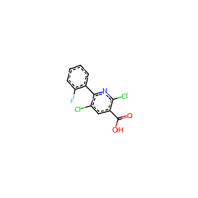 O=C(O)c1cc(Cl)c(-c2ccccc2F)nc1Cl